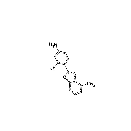 Cc1cccc2oc(-c3ccc(N)cc3Cl)nc12